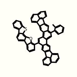 Cc1ccccc1-c1cc2c3cc4c(cc3c(-c3cccc5c3oc3c5ccc5c6ccccc6sc53)cc2c2cc3c(cc12)-c1cccc2cccc-3c12)-c1cccc2cccc-4c12